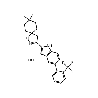 CC1(C)CCC2(CC1)CC(c1nc3cc(-c4ccccc4C(F)(F)F)ccc3[nH]1)=NO2.Cl